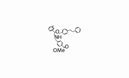 COC(=O)c1ccc(CNCC(OCc2ccc(CCc3ccccc3)cc2)c2cccs2)cc1